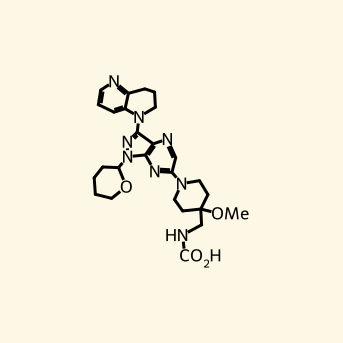 COC1(CNC(=O)O)CCN(c2cnc3c(N4CCCc5ncccc54)nn(C4CCCCO4)c3n2)CC1